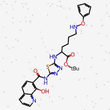 CC(C)(C)OC(=O)C(CCCCNOc1ccccc1)Nc1nnc(NC(=O)c2ccc3cccnc3c2O)s1